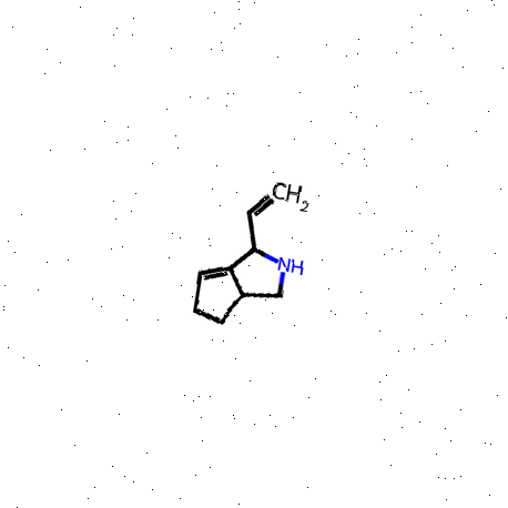 C=CC1NCC2CCC=C21